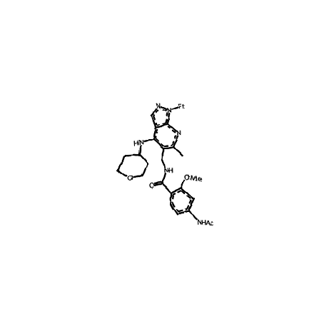 CCn1ncc2c(NC3CCOCC3)c(CNC(=O)c3ccc(NC(C)=O)cc3OC)c(C)nc21